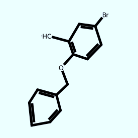 [CH]c1cc(Br)ccc1OCc1ccccc1